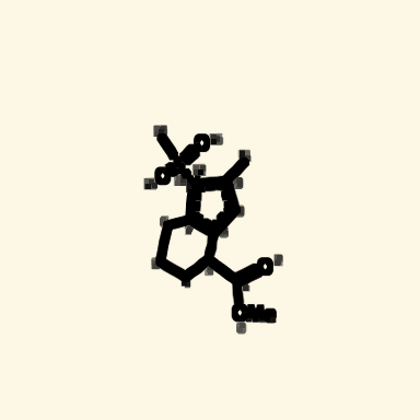 COC(=O)C1CCCc2c1cc(C)n2S(C)(=O)=O